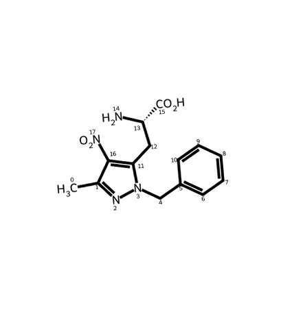 Cc1nn(Cc2ccccc2)c(C[C@H](N)C(=O)O)c1[N+](=O)[O-]